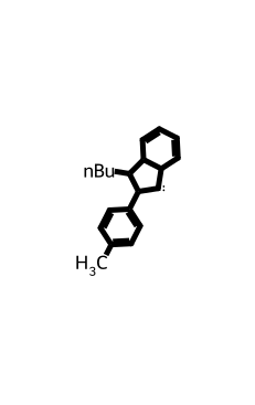 CCCCC1C(c2ccc(C)cc2)[C]C2C=CC=CC21